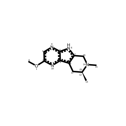 COc1cnc2[nH]c3c(c2n1)C[C@H](C)N(C)C3